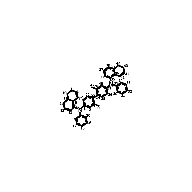 Cc1cc(N(C2=C3C=CCCC3CC=C2)c2ccccc2)ccc1-c1ccc(N(c2ccccc2)c2cccc3c2C=CCC3)cc1C